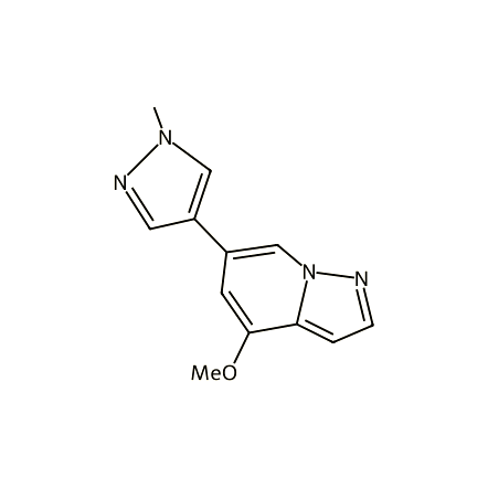 COc1cc(-c2cnn(C)c2)cn2nccc12